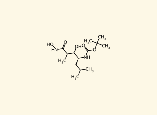 CC(C)C[C@H](NC(=O)OC(C)(C)C)[C@H](O)C(C)C(=O)NO